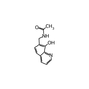 CC(=O)NCc1ccc2cccnc2c1O